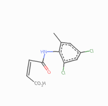 Cc1cc(Cl)cc(Cl)c1NC(=O)/C=C\C(=O)O